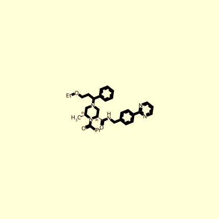 CCOCCC(c1ccccc1)N1C[C@@H](C)N(C(=O)C(C)C)[C@@H](C(=O)NCc2ccc(-c3ncccn3)cc2)C1